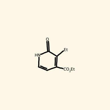 CCOC(=O)c1cc[nH]c(=O)c1CC